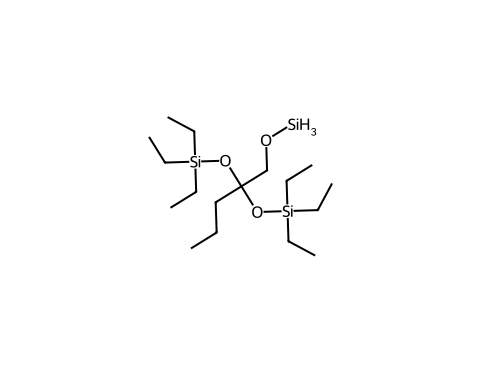 CCCC(CO[SiH3])(O[Si](CC)(CC)CC)O[Si](CC)(CC)CC